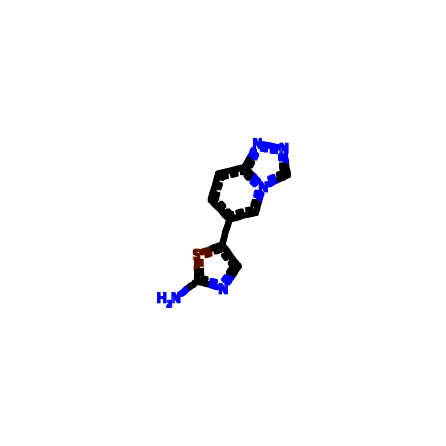 Nc1ncc(-c2ccc3nncn3c2)s1